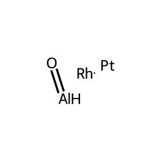 [O]=[AlH].[Pt].[Rh]